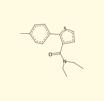 CCN(CC)C(=O)c1ccsc1-c1ccc(C)cc1